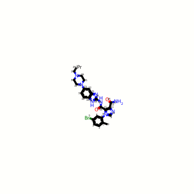 Cc1ccc(Br)cc1-n1cnc(C(N)=O)c1C(=O)Nc1nc2cc(N3CCN(CC(C)C)CC3)ccc2[nH]1